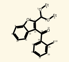 CCOC(OCC)c1oc2ccccc2c1C(=O)c1ccccc1F